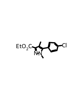 CCOC(=O)c1nn(C)c(-c2ccc(Cl)cc2)c1C